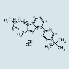 CC1=Cc2c(-c3ccc(C(C)(C)C)cc3)cccc2[CH]1[Ti+2][O][SiH](C)C.[Cl-].[Cl-]